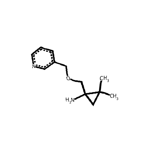 CC1(C)CC1(N)COCc1cccnc1